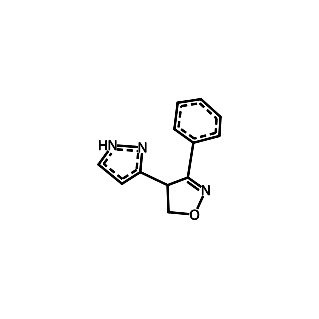 c1ccc(C2=NOCC2c2cc[nH]n2)cc1